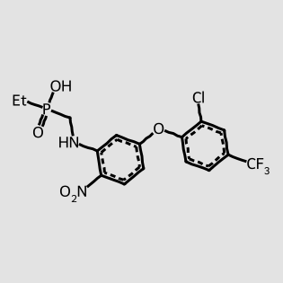 CCP(=O)(O)CNc1cc(Oc2ccc(C(F)(F)F)cc2Cl)ccc1[N+](=O)[O-]